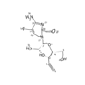 C#C[C@H](O)[C@@H](CO)O[C@H](CO)n1cc(F)c(N)nc1=O